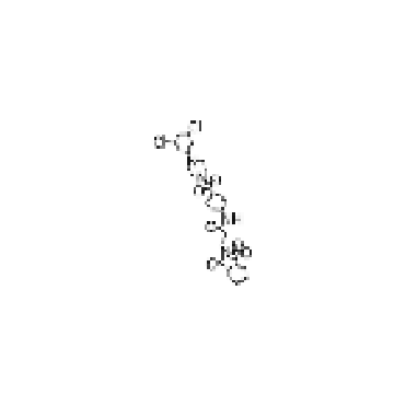 O=C(CCN1C(=O)c2ccccc2S1(=O)=O)Nc1ccc(S(=O)(=O)N2CCN(c3cc(Cl)cc(Cl)c3)CC2)cc1